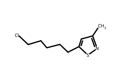 Cc1cc(CCCCCCl)sn1